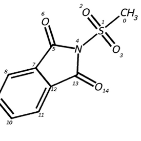 CS(=O)(=O)N1C(=O)c2ccccc2C1=O